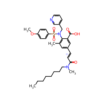 CCCCCCCCN(C)C(=O)/C=C/c1cc(C)c(N(Cc2cccnc2)S(=O)(=O)c2ccc(OC)cc2)c(C(=O)O)c1